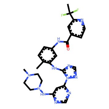 Cc1ccc(NC(=O)c2ccnc(C(C)(F)F)c2)cc1Nc1ncnn1-c1cc(NN2CCN(C)CC2)ncn1